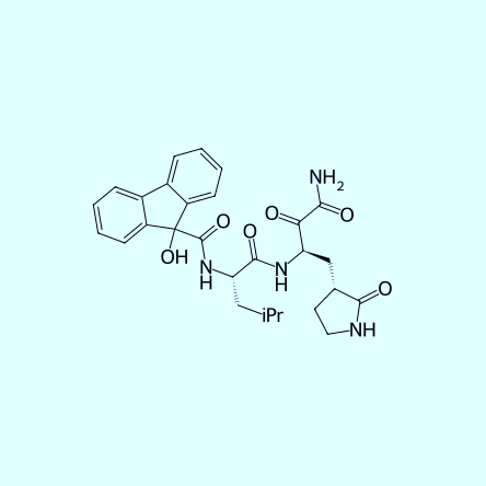 CC(C)C[C@H](NC(=O)C1(O)c2ccccc2-c2ccccc21)C(=O)N[C@H](C[C@H]1CCNC1=O)C(=O)C(N)=O